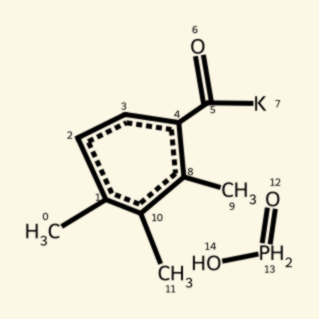 Cc1ccc([C](=O)[K])c(C)c1C.O=[PH2]O